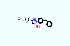 CCOC(=O)c1cc(O)n(-c2ccc(Cc3ccccc3)cc2)n1